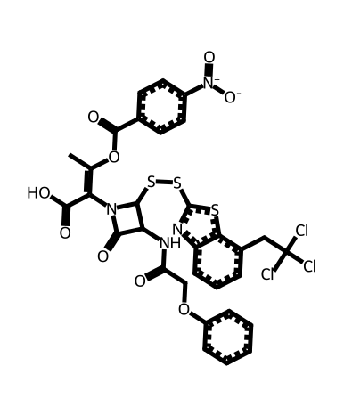 CC(OC(=O)c1ccc([N+](=O)[O-])cc1)=C(C(=O)O)N1C(=O)C(NC(=O)COc2ccccc2)C1SSc1nc2cccc(CC(Cl)(Cl)Cl)c2s1